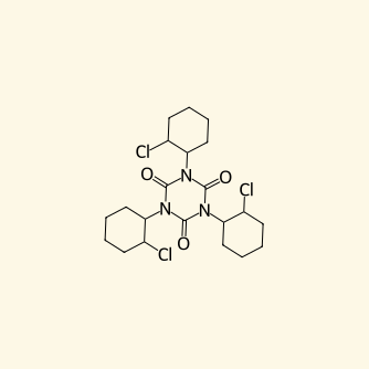 O=c1n(C2CCCCC2Cl)c(=O)n(C2CCCCC2Cl)c(=O)n1C1CCCCC1Cl